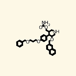 NC(=O)OCC1CNCC(OCc2ccc3ccccc3c2)C1c1ccc(OCCCOCc2ccccc2)cc1